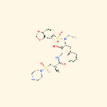 CC(C)CN(C(Cc1ccccc1)[C@H](O)CNC(=O)[C@@H](C)CS(=O)(=O)N1CCNCC1)S(=O)(=O)c1ccc2c(c1)OCO2